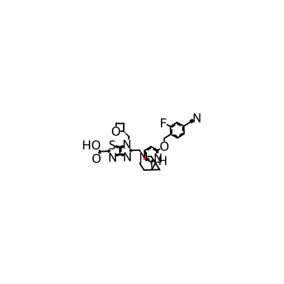 N#Cc1ccc(COc2cccc([C@@]34CCN(Cc5nc6nc(C(=O)O)sc6n5C[C@@H]5CCO5)C[C@@H]3C4)n2)c(F)c1